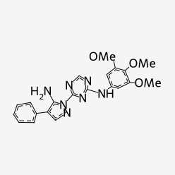 COc1cc(Nc2ncnc(-n3ncc(-c4ccccc4)c3N)n2)cc(OC)c1OC